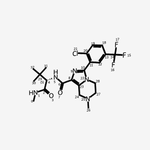 CNC(=O)[C@@H](NC(=O)c1nc(-c2cc(C(F)(F)F)ccc2Cl)n2c1CN(C)CC2)C(C)(C)C